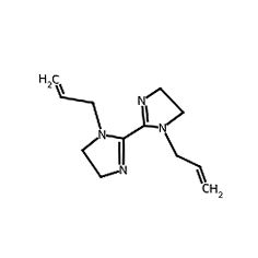 C=CCN1CCN=C1C1=NCCN1CC=C